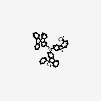 CC1(c2ccccc2)c2ccccc2-c2cc(N(c3ccc4c(c3)-c3ccccc3C43c4ccccc4-c4ccccc43)c3ccc4c(c3)sc3cccc(Cl)c34)ccc21